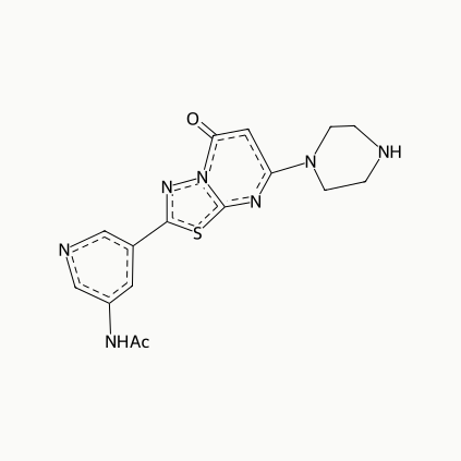 CC(=O)Nc1cncc(-c2nn3c(=O)cc(N4CCNCC4)nc3s2)c1